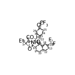 CCC(C)(C)[C@H](NC(=O)c1ccc2ccc(C(F)F)cc2c1OCc1ccc(OC(F)(F)F)cc1)C(=O)O